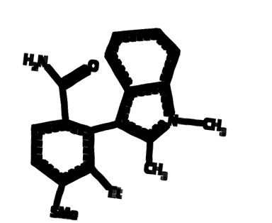 CCc1c(SC)ccc(C(N)=O)c1-c1c(C)n(C)c2ccccc12